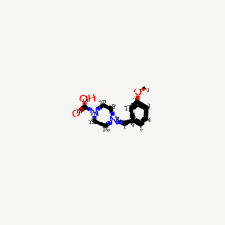 COc1cccc(CN2CCN(C(=O)O)CC2)c1